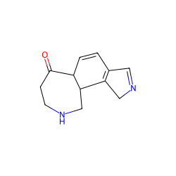 O=C1CCNCC2C3=C(C=CC12)C=NC3